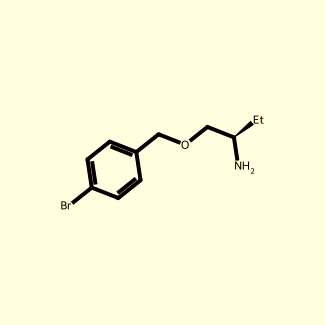 CC[C@@H](N)COCc1ccc(Br)cc1